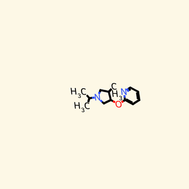 CC1CN(C(C)C)CC1Oc1ccccn1